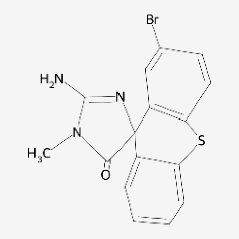 CN1C(=O)C2(N=C1N)c1ccccc1Sc1ccc(Br)cc12